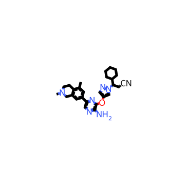 Cc1cc(-c2cnc(N)c(Oc3cnn(C(CC#N)C4CCCCC4)c3)n2)cc2c1CCN(C)C2